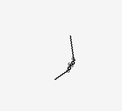 CCCCCCCCCCCCCCCCCCOC(C)c1ccc(OC(=O)c2ccc(OCCCCCCCCCCCCC)cc2)cc1